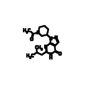 CC(=O)N1CCCC(n2ncc3c(=O)[nH]c(CC(C)C)nc32)C1